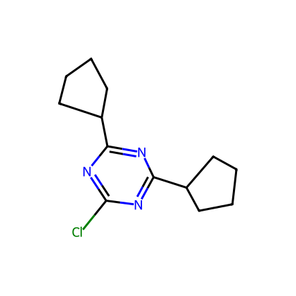 Clc1nc(C2CCCC2)nc(C2CCCC2)n1